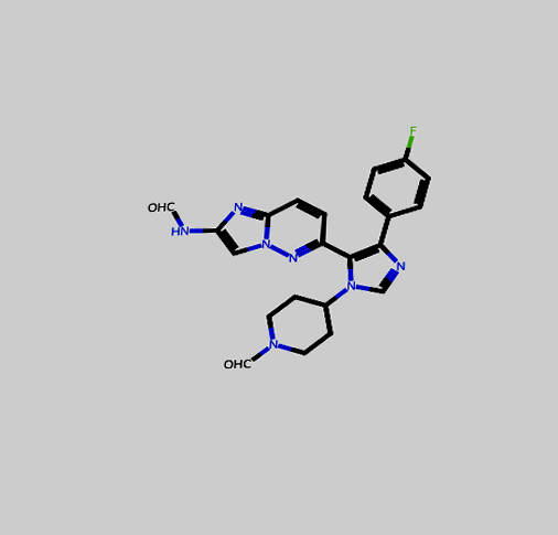 O=CNc1cn2nc(-c3c(-c4ccc(F)cc4)ncn3C3CCN(C=O)CC3)ccc2n1